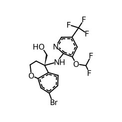 OC[C@]1(Nc2ncc(C(F)(F)F)cc2OC(F)F)CCOc2cc(Br)ccc21